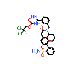 N=C(NC(=O)OCC(Cl)(Cl)Cl)c1cccc(CN(C(=O)Cc2ccc(-c3ccccc3S(N)(=O)=O)cc2)C2CCCCC2)c1